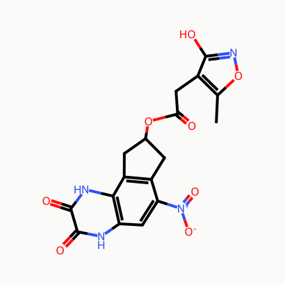 Cc1onc(O)c1CC(=O)OC1Cc2c([N+](=O)[O-])cc3[nH]c(=O)c(=O)[nH]c3c2C1